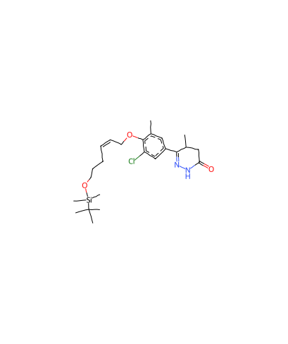 Cc1cc(C2=NNC(=O)CC2C)cc(Cl)c1OC/C=C\CCCO[Si](C)(C)C(C)(C)C